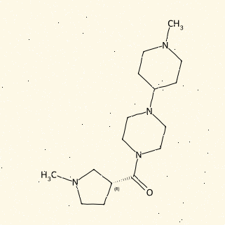 CN1CCC(N2CCN(C(=O)[C@@H]3CCN(C)C3)CC2)CC1